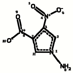 Nn1cc([N+](=O)[O-])c([N+](=O)[O-])c1